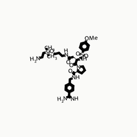 COc1ccc(S(=O)(=O)N[C@@H](CC(=O)NCCCO[Si](C)(C)CCN)C(=O)N2CCC[C@H]2C(=O)NCc2ccc(C(=N)N)cc2)cc1